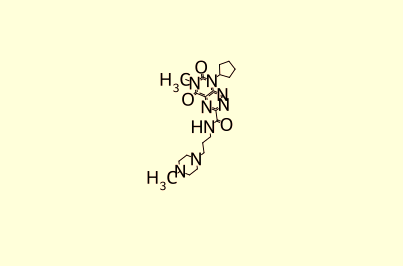 CN1CCN(CCCNC(=O)c2nnc3c(n2)c(=O)n(C)c(=O)n3C2CCCC2)CC1